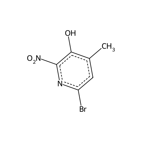 Cc1cc(Br)nc([N+](=O)[O-])c1O